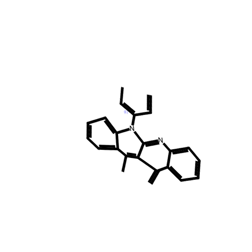 C=C/C(=C\C)N1c2ccccc2C(C)=c2c1nc1ccccc1c2=C